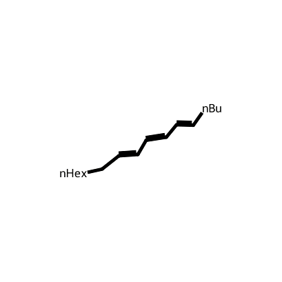 [CH2]CCC/C=C/C=C/C=C/CCCCCCC